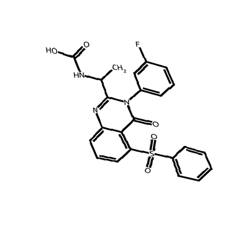 CC(NC(=O)O)c1nc2cccc(S(=O)(=O)c3ccccc3)c2c(=O)n1-c1cccc(F)c1